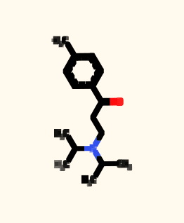 [CH2]c1ccc(C(=O)CCN(C(C)C)C(C)C)cc1